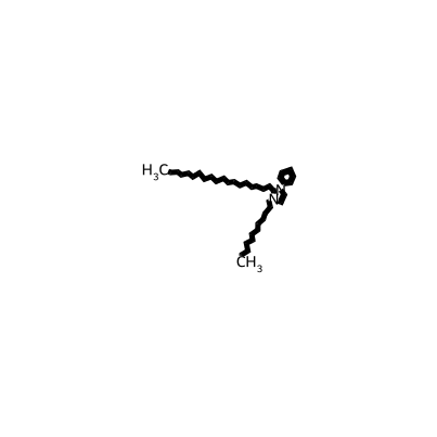 CCCCCCCCCCCCCCCCCCCC1N(CCCCCCCCCCCC)C=CN1c1ccccc1